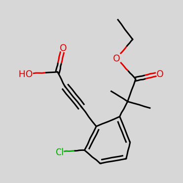 CCOC(=O)C(C)(C)c1cccc(Cl)c1C#CC(=O)O